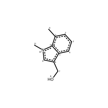 Cc1cccc2c(CO)cn(C)c12